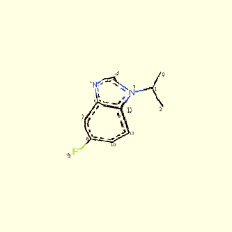 CC(C)n1[c]nc2cc(F)ccc21